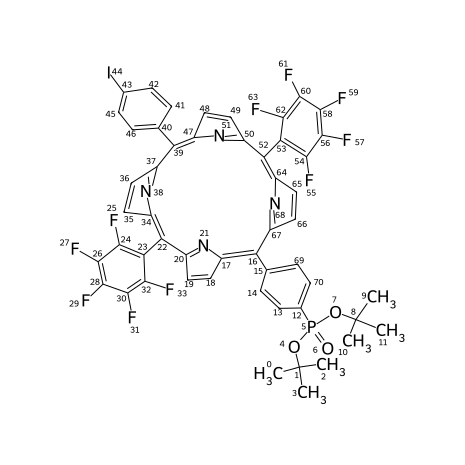 CC(C)(C)OP(=O)(OC(C)(C)C)c1ccc(C2=C3C=CC(=N3)C(c3c(F)c(F)c(F)c(F)c3F)=C3C=CC(=N3)C(c3ccc(I)cc3)=C3C=CC(=N3)C(c3c(F)c(F)c(F)c(F)c3F)=C3C=CC2=N3)cc1